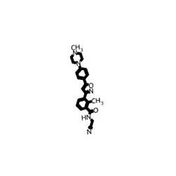 Cc1c(C(=O)NCC#N)cccc1-c1cc(-c2ccc(N3CCN(C)CC3)cc2)on1